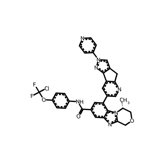 C[C@@H]1COCc2nc3cc(C(=O)Nc4ccc(OC(F)(F)Cl)cc4)cc(-c4cnc5c(c4)-c4nn(-c6ccncc6)cc4C5)c3n21